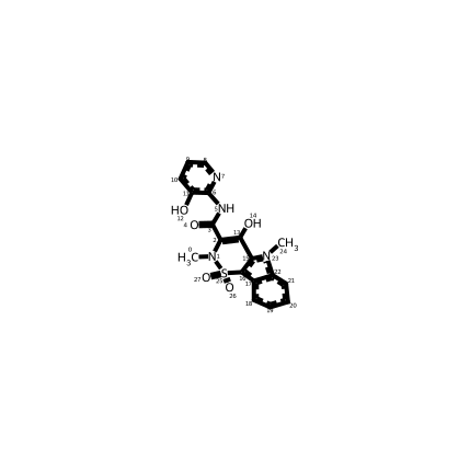 CN1C(C(=O)Nc2ncccc2O)=C(O)c2c(c3ccccc3n2C)S1(=O)=O